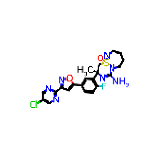 C[C@@]1(c2cc(-c3cc(-c4ncc(Cl)cn4)no3)ccc2F)CS2(=O)=NCCCCN2C(N)=N1